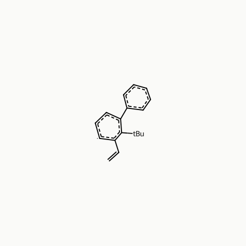 C=Cc1[c]ccc(-c2ccccc2)c1C(C)(C)C